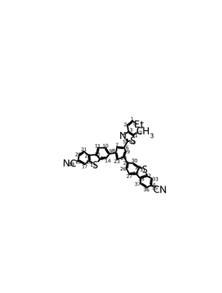 CC/C=C\c1nc(-c2cc(-c3ccc4c(c3)sc3cc(C#N)ccc34)cc(-c3ccc4c(c3)sc3cc(C#N)ccc34)c2)sc1C